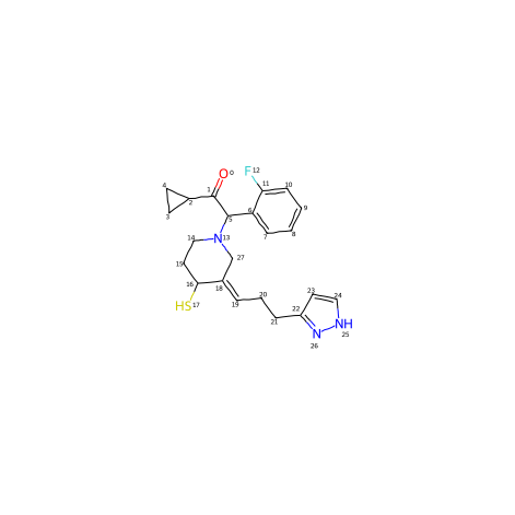 O=C(C1CC1)C(c1ccccc1F)N1CCC(S)/C(=C/CCc2cc[nH]n2)C1